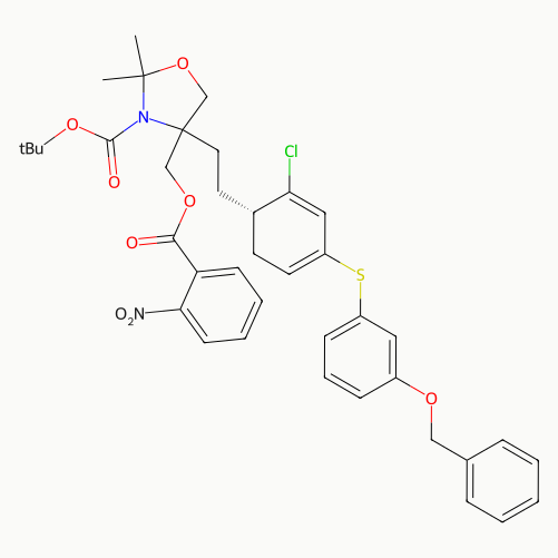 CC(C)(C)OC(=O)N1C(CC[C@H]2CC=C(Sc3cccc(OCc4ccccc4)c3)C=C2Cl)(COC(=O)c2ccccc2[N+](=O)[O-])COC1(C)C